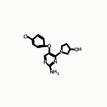 Nc1ncc(Oc2ccc(Cl)cc2)c(N2CCC(O)C2)n1